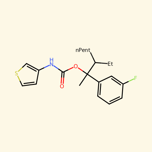 CCCCCC(CC)C(C)(OC(=O)Nc1ccsc1)c1cccc(F)c1